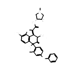 Cc1cc(Oc2ccccc2)ccc1C1(N)C(=O)C(N)c2c(C(=O)N[C@H]3CN(C)C[C@H]3F)sc3c(N)ccc1c23